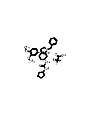 COc1ccc([C@@]23CC[C@@H](NC(=S)NC4CCCC4)C[C@@H]2N(Cc2ccccc2)CC3)cc1OC.O=C(O)C(F)(F)F